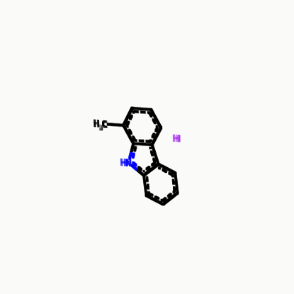 Cc1cccc2c1[nH]c1ccccc12.I